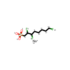 O=S(=O)([O-])CC(F)C(F)CCCCCF.[Na+]